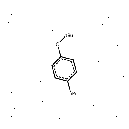 [CH2]CCc1ccc(OC(C)(C)C)cc1